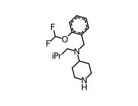 CC(C)CN(Cc1ccccc1OC(F)F)C1CCNCC1